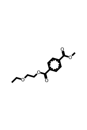 CCOCCOC(=O)c1ccc(C(=O)OC)cc1